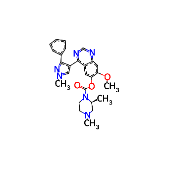 COc1cc2ncnc(-c3cn(C)nc3-c3ccccc3)c2cc1OC(=O)N1CCN(C)C[C@@H]1C